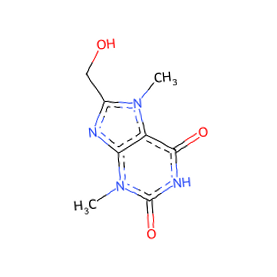 Cn1c(CO)nc2c1c(=O)[nH]c(=O)n2C